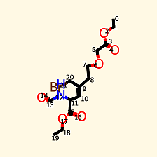 CCOC(=O)COCCC(=CC(NC=O)C(=O)OCC)CBr